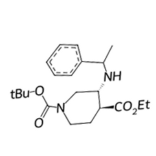 CCOC(=O)[C@H]1CCN(C(=O)OC(C)(C)C)C[C@@H]1NC(C)c1ccccc1